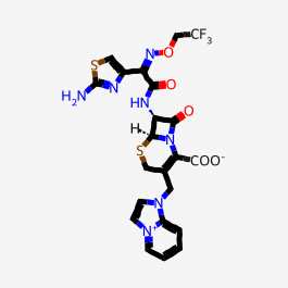 Nc1nc(/C(=N/OCC(F)(F)F)C(=O)N[C@@H]2C(=O)N3C(C(=O)[O-])=C(Cn4cc[n+]5ccccc45)CS[C@@H]23)cs1